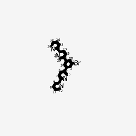 Brc1cc(-c2ccc(-c3ccccn3)nc2)cc(-c2ccc(-c3ccccn3)nc2)c1